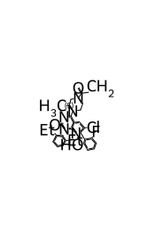 C=CC(=O)N1CCN(c2nc(=O)n(-c3c(CC)cccc3CC)c3nc(-c4c(O)cccc4F)c(Cl)cc23)[C@@H](C)C1